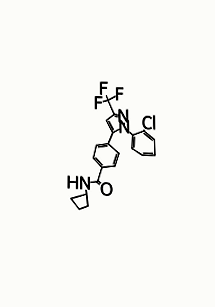 O=C(NC1CCC1)c1ccc(-c2cc(C(F)(F)F)nn2-c2ccccc2Cl)cc1